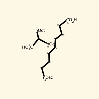 CCCCCCCCC(CCCCCCCC)C(=O)O.CCCCCCCCCCCCCCCCCC(=O)O